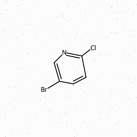 Clc1c[c]c(Br)cn1